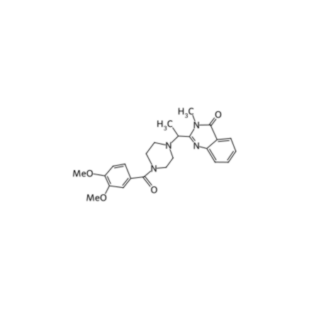 COc1ccc(C(=O)N2CCN(C(C)c3nc4ccccc4c(=O)n3C)CC2)cc1OC